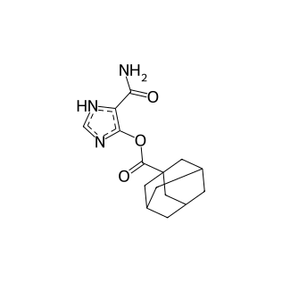 NC(=O)c1[nH]cnc1OC(=O)C12CC3CC(CC(C3)C1)C2